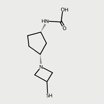 O=C(O)N[C@H]1CC[C@@H](N2CC(S)C2)C1